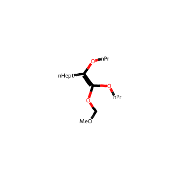 CCCCCCCC(OCCC)=C(OCCC)OCOC